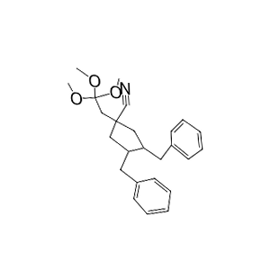 COC(CC1(C#N)CC(Cc2ccccc2)C(Cc2ccccc2)C1)(OC)OC